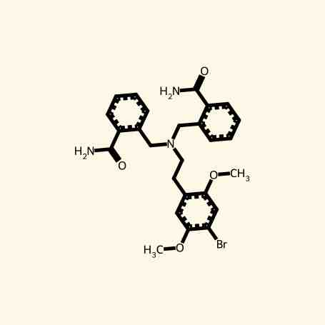 COc1cc(CCN(Cc2ccccc2C(N)=O)Cc2ccccc2C(N)=O)c(OC)cc1Br